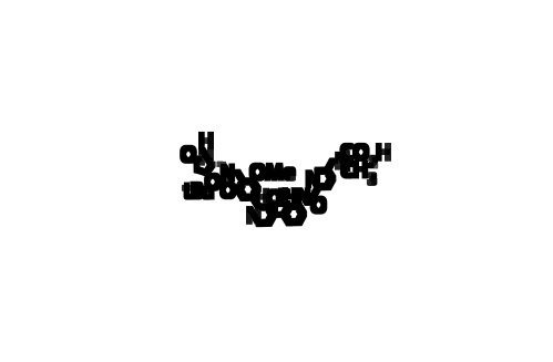 COc1cc(-c2nccc(-c3cccc(NC(=O)c4ccc(CN(C)C(=O)O)cn4)c3C)c2Cl)ccc1CN(C[C@@H]1CCC(=O)N1)C(=O)OC(C)(C)C